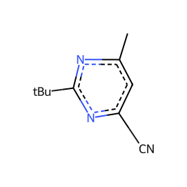 Cc1cc(C#N)nc(C(C)(C)C)n1